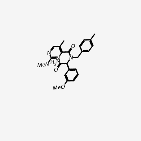 CNc1ncc(C)c(C(=O)N(Cc2ccc(C)cc2)C(C(N)=O)c2cccc(OC)c2)n1